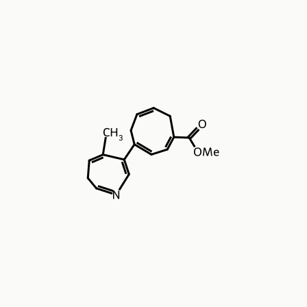 COC(=O)/C1=C/C=C(/C2=CN=CCC=C2C)C/C=C\C1